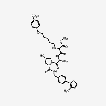 Cc1ncsc1-c1ccc(CNC(=O)[C@@H]2C[C@@H](O)CN2C(=O)[C@@H](NC(=O)C(NCCCCCOc2ccc(C(=O)O)cc2)C(=O)OC(C)(C)C)C(C)(C)C)cc1